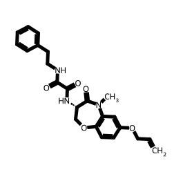 C=CCOc1ccc2c(c1)N(C)C(=O)[C@@H](NC(=O)C(=O)NCCc1ccccc1)CO2